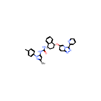 Cc1ccc(-n2nc(C(C)(C)C)cc2NC(=O)N[C@H]2CC[C@@H](Oc3ccc4nnc(-c5ccccn5)n4c3)c3ccccc32)cc1